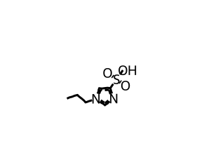 CCCn1cnc(S(=O)(=O)O)c1